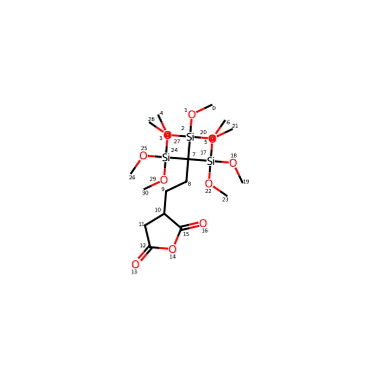 CO[Si](OC)(OC)C(CCC1CC(=O)OC1=O)([Si](OC)(OC)OC)[Si](OC)(OC)OC